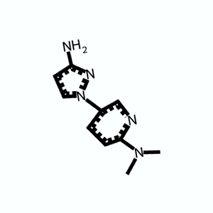 CN(C)c1ccc(-n2ccc(N)n2)cn1